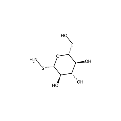 NS[C@@H]1O[C@H](CO)[C@@H](O)[C@H](O)[C@H]1O